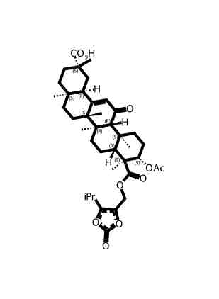 CC(=O)O[C@H]1CC[C@@]2(C)[C@@H](CC[C@]3(C)[C@@H]2C(=O)C=C2[C@@H]4C[C@@](C)(C(=O)O)CC[C@]4(C)CC[C@]23C)[C@]1(C)C(=O)OCc1oc(=O)oc1C(C)C